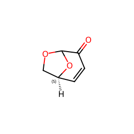 O=C1C=C[C@H]2COC1O2